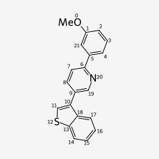 COc1cccc(-c2ccc(-c3csc4ccccc34)cn2)c1